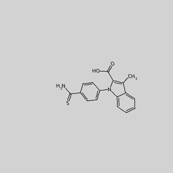 Cc1c(C(=O)O)n(-c2ccc(C(N)=S)cc2)c2ccccc12